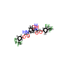 O=C(COc1ccc(F)c(C(F)(F)F)c1)NC12CCC(NC(=O)COc3ccc(C(F)(F)F)c(F)c3)(CC1)[C@@H](O)C2